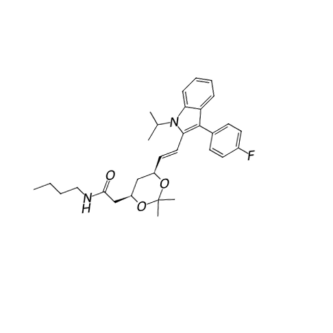 CCCCNC(=O)C[C@H]1C[C@@H](/C=C/c2c(-c3ccc(F)cc3)c3ccccc3n2C(C)C)OC(C)(C)O1